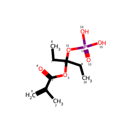 C=C(C)C(=O)OC(CC)(CC)OP(=O)(O)O